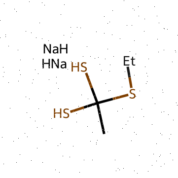 CCSC(C)(S)S.[NaH].[NaH]